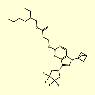 CCCCC(CC)COC(=O)CCSc1ncc2c(n1)c(N1CC(F)(F)C(F)(F)C1)cn2C12CC(C1)C2